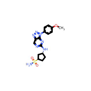 COc1ccc(-n2nnc3cnc(N[C@@H]4CC[C@@H](S(N)(=O)=O)C4)nc32)cc1